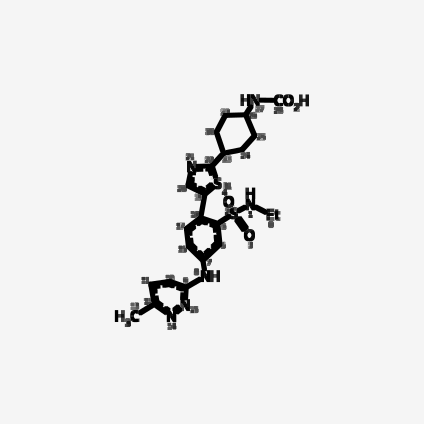 CCNS(=O)(=O)c1cc(Nc2ccc(C)nn2)ccc1-c1cnc(C2CCC(NC(=O)O)CC2)s1